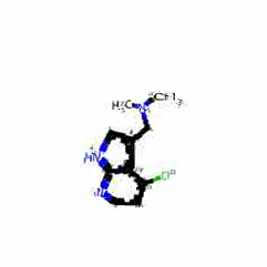 CN(C)Cc1c[nH]c2nccc(Cl)c12